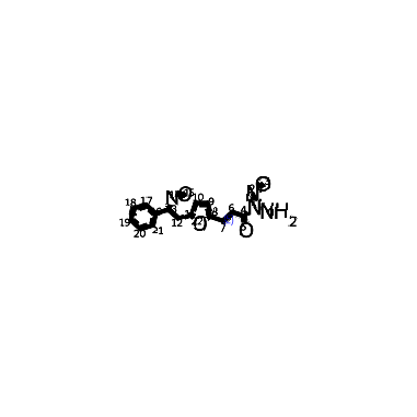 NN(N=O)C(=O)/C=C/c1ccc(CC(N=O)c2ccccc2)o1